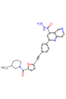 NNC(=O)c1cc(-c2ccc(C#Cc3ccc(C(=O)N4CCCC(C(=O)O)C4)o3)cc2)nc2ccncc12